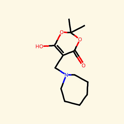 CC1(C)OC(=O)C(CN2CCCCCC2)=C(O)O1